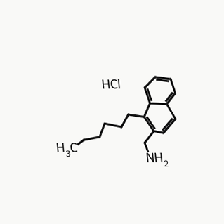 CCCCCCc1c(CN)ccc2ccccc12.Cl